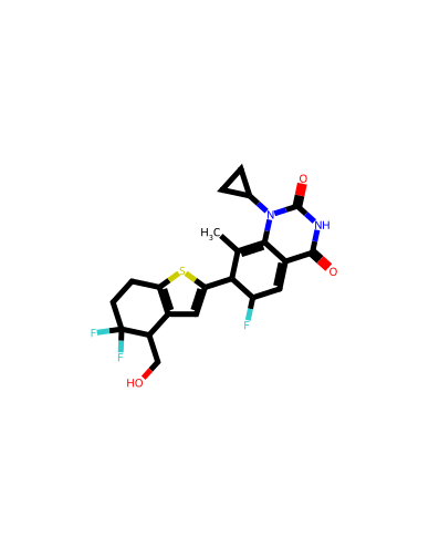 CC1=c2c(c(=O)[nH]c(=O)n2C2CC2)=CC(F)C1c1cc2c(s1)CCC(F)(F)C2CO